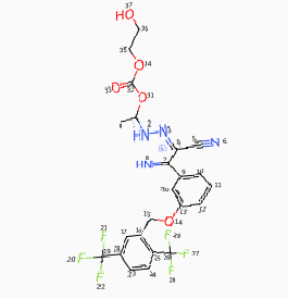 CC(N/N=C(/C#N)C(=N)c1cccc(OCc2cc(C(F)(F)F)ccc2C(F)(F)F)c1)OC(=O)OCCO